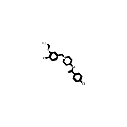 CCOc1cc(CN2CCC(NC(=O)c3ccc(Cl)cc3)CC2)ccc1Cl